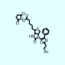 CC(=O)CCc1nc(-c2ccccc2)c(N2C(=O)NC3C(CCCCC(=O)ON4C(=O)CCC4=O)SCC32)o1